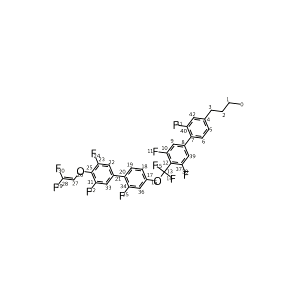 CCCCc1ccc(-c2cc(F)c(C(F)(F)Oc3ccc(-c4cc(F)c(OC=C(F)F)c(F)c4)c(F)c3)c(F)c2)c(F)c1